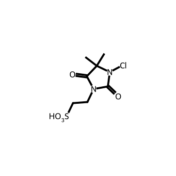 CC1(C)C(=O)N(CCS(=O)(=O)O)C(=O)N1Cl